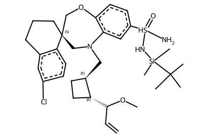 C=CC(OC)[C@@H]1CC[C@H]1CN1C[C@@]2(CCCc3cc(Cl)ccc32)COc2ccc([SH](N)(=O)N[Si](C)(C)C(C)(C)C)cc21